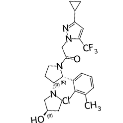 Cc1cccc([C@@H]2[C@H](N3CC[C@@H](O)C3)CCN2C(=O)Cn2nc(C3CC3)cc2C(F)(F)F)c1Cl